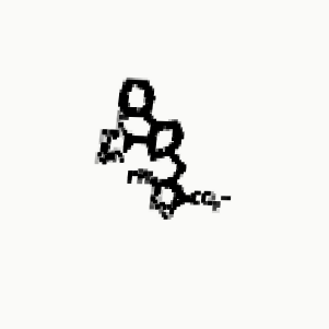 CCCc1noc(C(=O)O)c1Cc1ccc(-c2ccccc2)c(-c2nnn[nH]2)c1